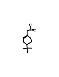 CC(C)(C)C1CC=C(C[N+](=O)[O-])CC1